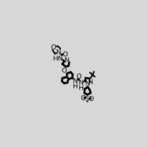 CC(C)(C)c1cc(NC(=O)Nc2ccc(Oc3ccnc(NC(=O)N4CCOCC4)c3)c3ccccc23)n(-c2ccc(S(C)(=O)=O)cc2)n1